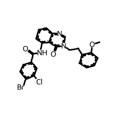 COc1ccccc1CCn1cnc2cccc(NC(=O)c3ccc(Br)c(Cl)c3)c2c1=O